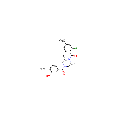 COc1ccc(C(=O)N2[C@H](C)CN(C(=O)c3ccc(OC)c(O)c3)C[C@H]2C)c(F)c1